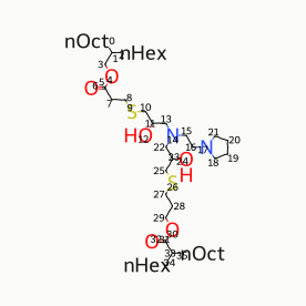 CCCCCCCCC(CCCCCC)COC(=O)CCSCC(O)CN(CCN1CCCC1)CC(O)CSCCCOC(=O)C(CCCCCC)CCCCCCCC